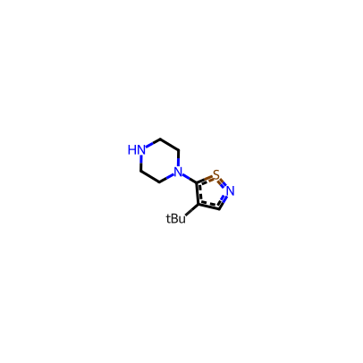 CC(C)(C)c1cnsc1N1CCNCC1